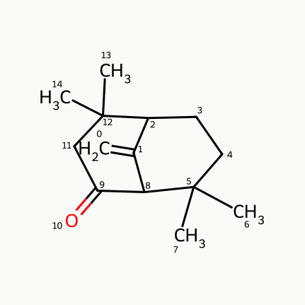 C=C1C2CCC(C)(C)C1C(=O)CC2(C)C